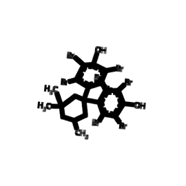 CC1CC(C)(C)CC(c2c(Br)c(Br)c(O)c(Br)c2Br)(c2c(Br)c(Br)c(O)c(Br)c2Br)C1